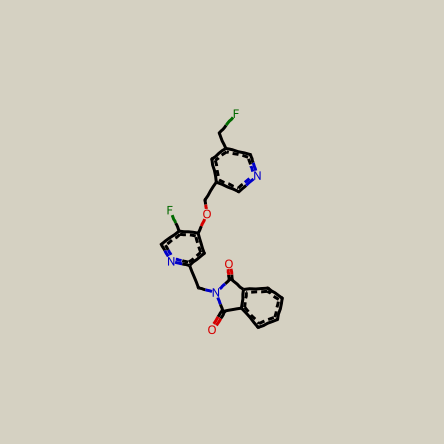 O=C1c2ccccc2C(=O)N1Cc1cc(OCc2cncc(CF)c2)c(F)cn1